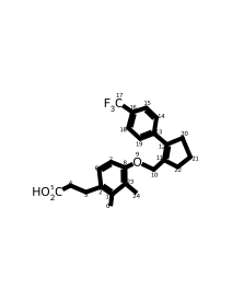 Cc1c(CCC(=O)O)ccc(OCC2=C(c3ccc(C(F)(F)F)cc3)CCC2)c1C